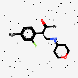 Cc1ccc([C@@H](CNC2CCOCC2)C(=O)C(C)C)c(F)c1